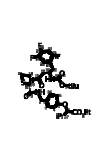 CCOC(=O)C(Oc1ccc(CNC(=O)[C@@H]2SCCN2C(=O)C[C@@H](Cc2cc(F)c(F)cc2F)NC(=O)OC(C)(C)C)cc1)C(C)C